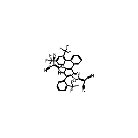 N#CC(C#N)=c1nc2c(-c3ccccc3C(F)(F)F)c3oc(=C(C#N)C#N)nc3c(-c3ccccc3-c3ccc(C(F)(F)F)cc3C(F)(F)F)c2o1